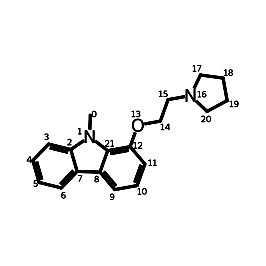 Cn1c2ccccc2c2cccc(OCCN3CCCC3)c21